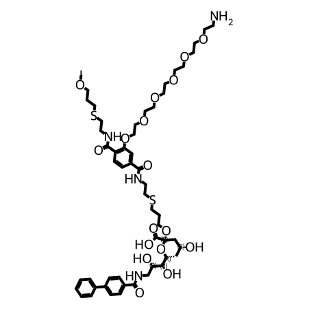 NCCOCCOCCOCCOCCOCCOc1cc(C(=O)NCCSCCCO[C@]2(C(=O)O)C[C@H](O)C[C@H]([C@H](O)[C@H](O)CNC(=O)c3ccc(-c4ccccc4)cc3)O2)ccc1C(=O)NCCSCCCOI